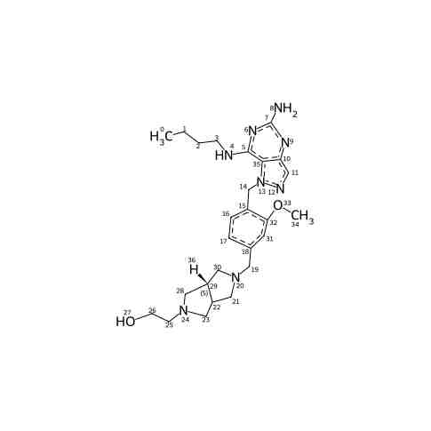 CCCCNc1nc(N)nc2cnn(Cc3ccc(CN4CC5CN(CCO)C[C@@H]5C4)cc3OC)c12